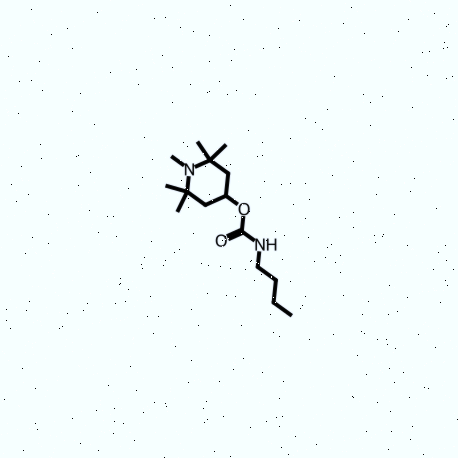 CCCCNC(=O)OC1CC(C)(C)N(C)C(C)(C)C1